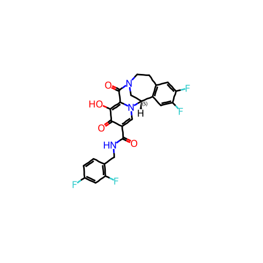 O=C(NCc1ccc(F)cc1F)c1cn2c(c(O)c1=O)C(=O)N1CCc3cc(F)c(F)cc3[C@H]2C1